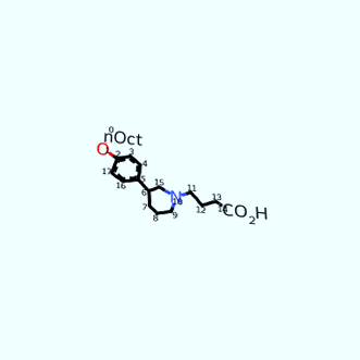 CCCCCCCCOc1ccc(C2CCCN(CCCC(=O)O)C2)cc1